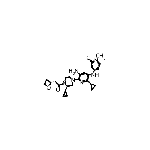 Cn1ccc(Nc2cc(N)c(N3CCN(C(=O)C[C@H]4CCO4)[C@H](C4CC4)C3)nc2C2CC2)cc1=O